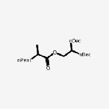 CCCCCCCCCCC(CCCCCCCCCC)COC(=O)C(C)CCCCC